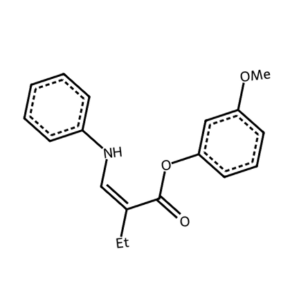 CCC(=CNc1ccccc1)C(=O)Oc1cccc(OC)c1